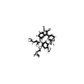 COc1cc(OCCN(C)C)c(NC(=O)/C=C/Cl)cc1Nc1nccc(-c2c(C)n(C)c3ccccc23)n1